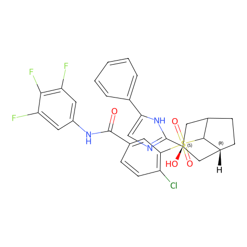 O=C(Nc1cc(F)c(F)c(F)c1)c1ccc(Cl)c(S(=O)(=O)C2C3CC[C@@H]2C[C@](O)(c2ncc(-c4ccccc4)[nH]2)C3)c1